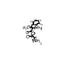 Cc1c(C(=O)OC(=O)CN)[nH]c2ccccc12